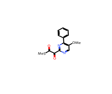 COc1cnc(C(=O)C(=O)SC)nc1-c1ccccc1